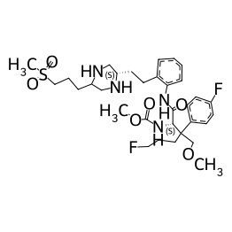 COCC(CCCF)(c1ccc(F)cc1)[C@H](NC(=O)OC)C(=O)Nc1ccccc1CC[C@H]1CNC(CCCS(C)(=O)=O)CN1